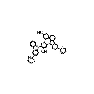 N#Cc1cccc(-c2cc(-n3c4ccccc4c4cc(-c5ncccn5)ccc43)c(C#N)cc2-n2c3ccccc3c3cc(-c4ncccn4)ccc32)c1